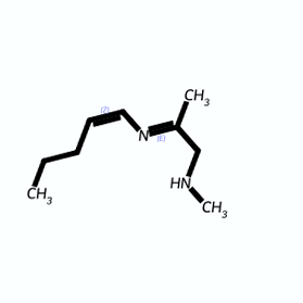 CCC/C=C\N=C(/C)CNC